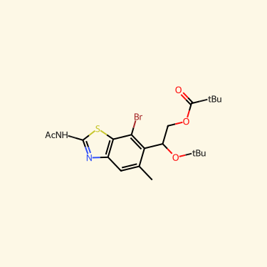 CC(=O)Nc1nc2cc(C)c(C(COC(=O)C(C)(C)C)OC(C)(C)C)c(Br)c2s1